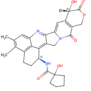 CC[C@@]1(O)C(=O)OCc2c1cc1n(c2=O)Cc2c-1nc1cc(C)c(C)c3c1c2[C@@H](NC(=O)C1(O)CCCC1)CC3